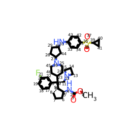 COC(=O)N[C@H]1CCC[C@@H]1[C@](CN1CCC1)(c1cccc(F)c1)C1CCN(C2CC[C@@H](Nc3ccc(S(=O)(=O)C4CC4)cc3)C2)CC1